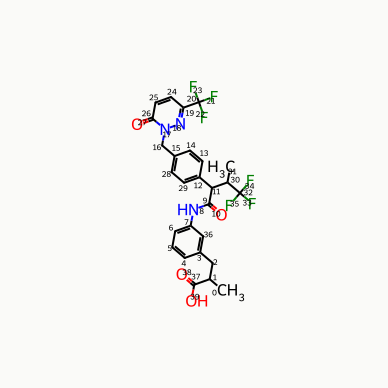 CC(Cc1cccc(NC(=O)C(c2ccc(Cn3nc(C(F)(F)F)ccc3=O)cc2)C(C)C(F)(F)F)c1)C(=O)O